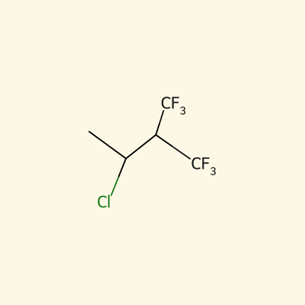 CC(Cl)C(C(F)(F)F)C(F)(F)F